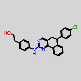 OCCc1ccc(Nc2ncc3c(n2)-c2ccccc2C(c2ccc(Cl)cc2)C3)cc1